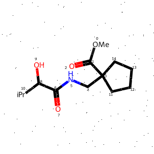 COC(=O)C1(CNC(=O)C(O)C(C)C)CCCC1